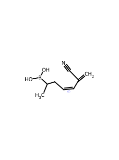 C=C(C#N)/C=C\CC(C)B(O)O